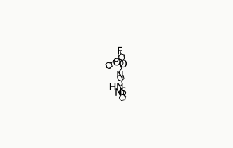 Fc1ccc(OCCCN2CCC(CNc3nc4ccccc4s3)CC2)c(OCc2ccccc2)c1